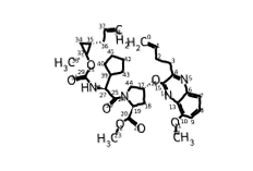 C=CCCc1nc2cccc(OC)c2nc1O[C@@H]1C[C@@H](C(=O)OC)N(C(=O)[C@@H](NC(=O)O[C@@]2(C)C[C@@H]2CC=C)C2CCCC2)C1